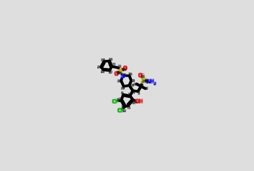 CC(C)(CC(c1cc(Cl)c(Cl)cc1O)C1CCN(S(=O)(=O)Cc2ccccc2)CC1)[S+](N)[O-]